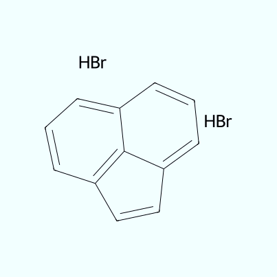 Br.Br.C1=Cc2cccc3cccc1c23